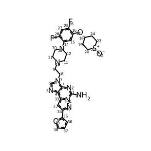 Nc1nc2c(ncn2CCN2CCN(c3cc(O[C@H]4CC[S@+]([O-])CC4)c(F)cc3F)CC2)c2cc(-c3ccco3)nn12